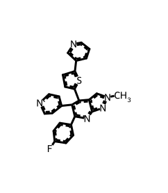 Cn1cc2c(-c3ccc(-c4cccnc4)s3)c(-c3ccncc3)c(-c3ccc(F)cc3)nc2n1